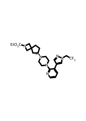 CCOC(=O)N1CC2(CC[C@@H](N3CCN(c4ncccc4-c4cnn(CC(F)(F)F)c4)CC3)C2)C1